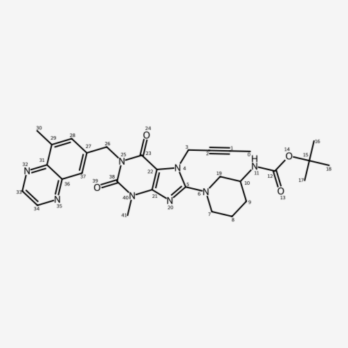 CC#CCn1c(N2CCCC(NC(=O)OC(C)(C)C)C2)nc2c1c(=O)n(Cc1cc(C)c3nccnc3c1)c(=O)n2C